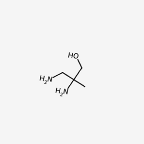 CC(N)(CN)CO